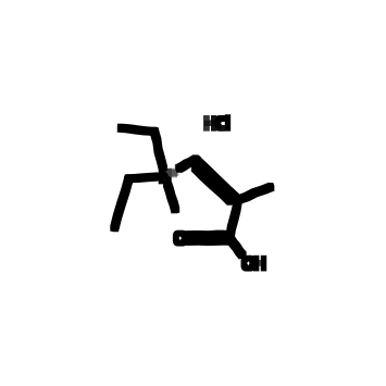 CC[N+](C)(C=C(C)C(=O)O)CC.Cl